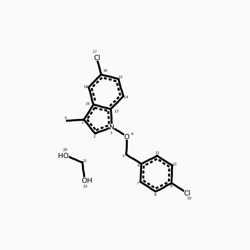 Cc1cn(OCc2ccc(Cl)cc2)c2ccc(Cl)cc12.OCO